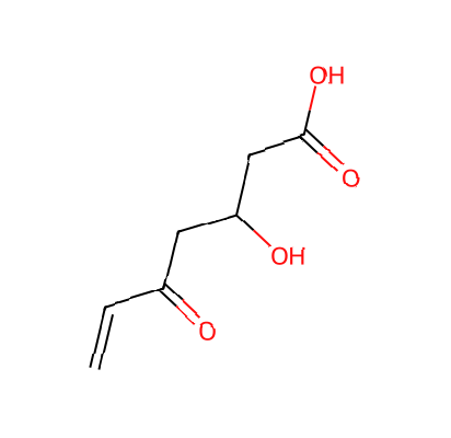 C=CC(=O)CC(O)CC(=O)O